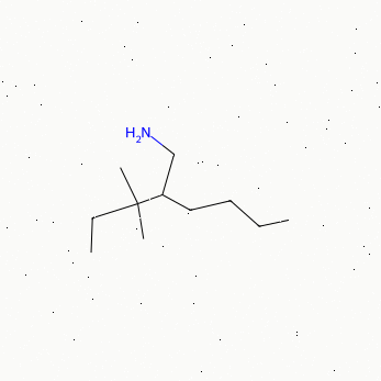 CCCCC(CN)C(C)(C)CC